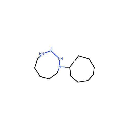 C1CCCCC(N2CCCCCNNN2)CCC1